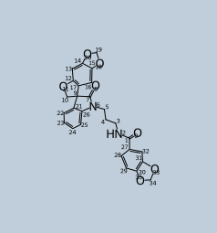 O=C(NCCCN1C(=O)C2(COc3cc4c(cc32)OCO4)c2ccccc21)c1ccc2c(c1)OCO2